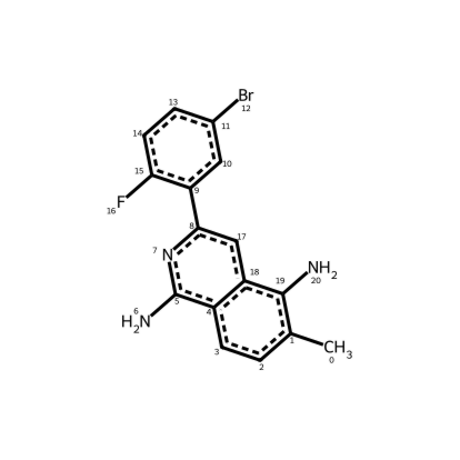 Cc1ccc2c(N)nc(-c3cc(Br)ccc3F)cc2c1N